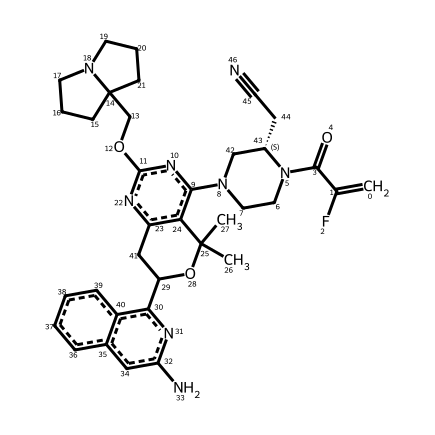 C=C(F)C(=O)N1CCN(c2nc(OCC34CCCN3CCC4)nc3c2C(C)(C)OC(c2nc(N)cc4ccccc24)C3)C[C@@H]1CC#N